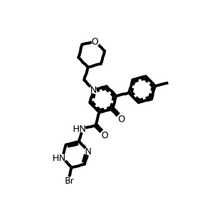 Cc1ccc(-c2cn(CC3CCOCC3)cc(C(=O)NC3=CNC(Br)C=N3)c2=O)cc1